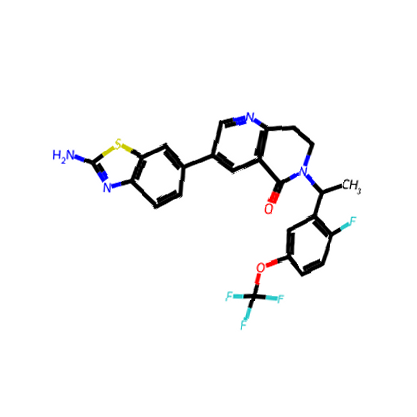 CC(c1cc(OC(F)(F)F)ccc1F)N1CCc2ncc(-c3ccc4nc(N)sc4c3)cc2C1=O